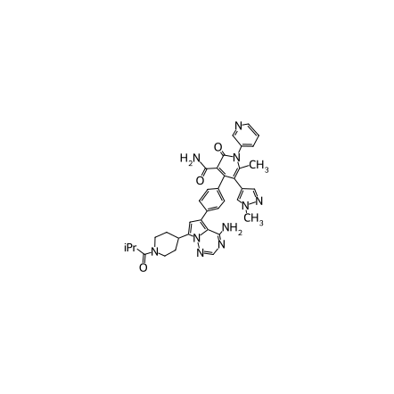 Cc1c(-c2cnn(C)c2)c(-c2ccc(-c3cc(C4CCN(C(=O)C(C)C)CC4)n4ncnc(N)c34)cc2)c(C(N)=O)c(=O)n1-c1cccnc1